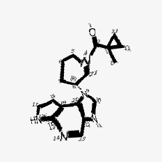 CC1(C(=O)N2CCC[C@@H](n3cnc4cnc5[nH]ccc5c43)C2)CC1